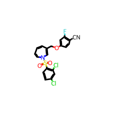 N#Cc1ccc(OCC2=CN(S(=O)(=O)c3ccc(Cl)cc3Cl)C=CC=C2)cc1F